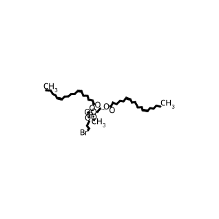 CCCCC/C=C\CCCC/C=C\CCCCC(=O)OC[C@H](COP(=O)(OC)OCCCBr)OC(=O)CCCC/C=C\CCCC/C=C\CCCCC